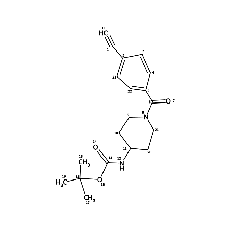 C#Cc1ccc(C(=O)N2CCC(NC(=O)OC(C)(C)C)CC2)cc1